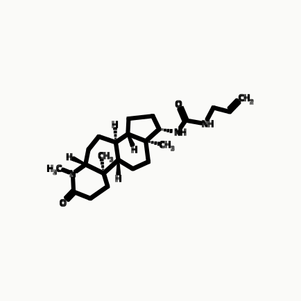 C=CCNC(=O)N[C@H]1CC[C@H]2[C@@H]3CC[C@H]4N(C)C(=O)CC[C@]4(C)[C@H]3CC[C@]12C